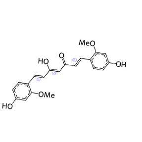 COc1cc(O)ccc1/C=C/C(=O)/C=C(O)/C=C/c1ccc(O)cc1OC